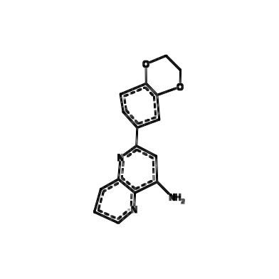 Nc1cc(-c2ccc3c(c2)OCCO3)nc2cccnc12